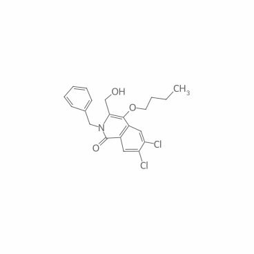 CCCCOc1c(CO)n(Cc2ccccc2)c(=O)c2cc(Cl)c(Cl)cc12